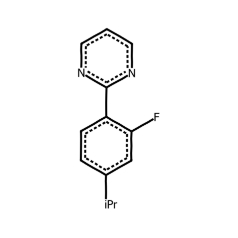 CC(C)c1ccc(-c2ncccn2)c(F)c1